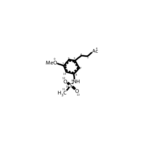 COc1cc(CCC(C)=O)cc(NS(C)(=O)=O)c1